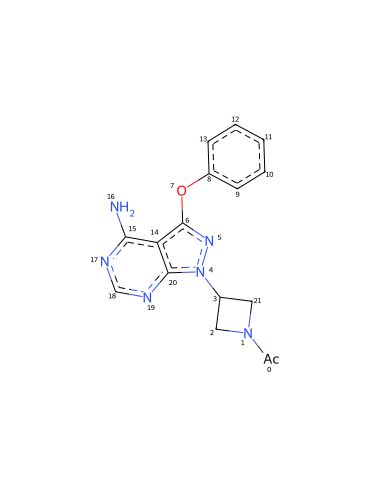 CC(=O)N1CC(n2nc(Oc3ccccc3)c3c(N)ncnc32)C1